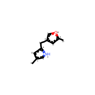 Cc1c[nH]c(Cc2coc(C)c2)c1